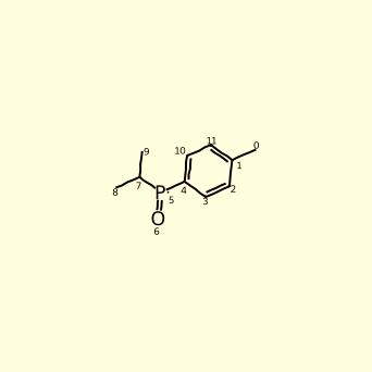 Cc1ccc([P](=O)C(C)C)cc1